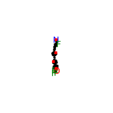 N#CC(F)=CC=CCC[C@H]1CC[C@H](CC[C@H]2CC[C@H](c3ccc(OC(F)(F)F)cc3)CC2)CC1